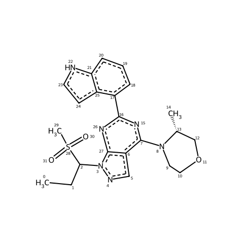 CCC(n1ncc2c(N3CCOC[C@H]3C)nc(-c3cccc4[nH]ccc34)nc21)S(C)(=O)=O